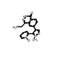 Cn1ncc(-c2ccc3c(=O)[nH]nc(CN)c3c2)c1-c1cccc[n+]1[O-]